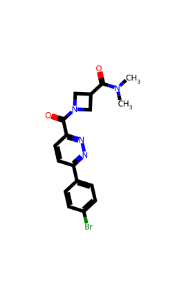 CN(C)C(=O)C1CN(C(=O)c2ccc(-c3ccc(Br)cc3)nn2)C1